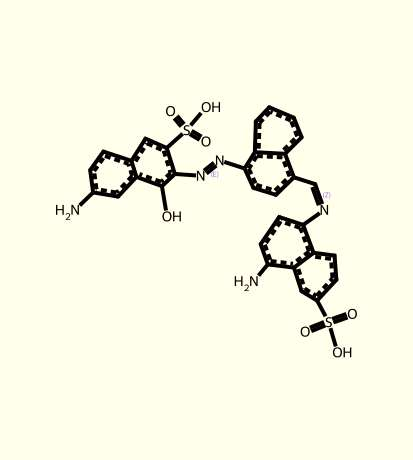 Nc1ccc2cc(S(=O)(=O)O)c(/N=N/c3ccc(/C=N\c4ccc(N)c5cc(S(=O)(=O)O)ccc45)c4ccccc34)c(O)c2c1